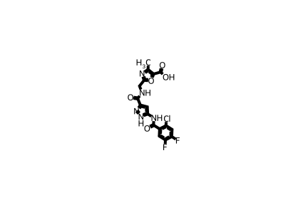 Cc1nc(CNC(=O)c2cc(NC(=O)c3cc(F)c(F)cc3Cl)[nH]n2)oc1C(=O)O